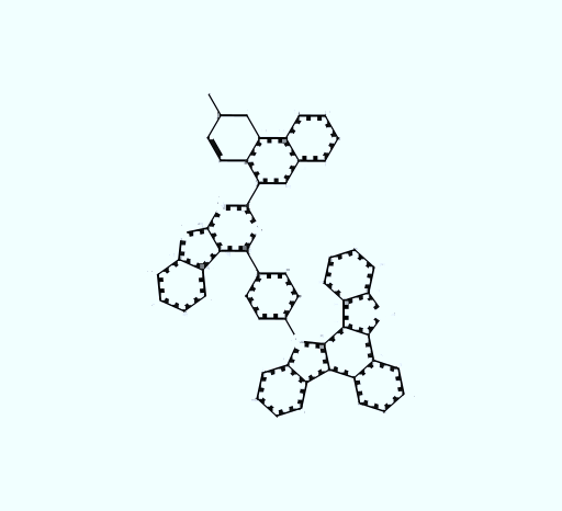 CC1C=Cc2c(-c3nc(-c4ccc(-n5c6ccccc6c6c7ccccc7c7sc8ccccc8c7c65)cc4)c4c(n3)sc3ccccc34)cc3ccccc3c2C1